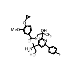 COc1cc(C(=O)NCC(O)(c2cc(C(C)(N)CO)cc(-c3ccc(F)cc3)n2)C(F)(F)F)ccc1OC1CC1